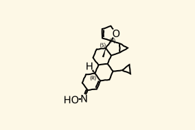 C[C@]12CCC3C(C(C4CC4)CC4=CC(=NO)CC[C@@H]43)C1C1CC1[C@@]21C=CCO1